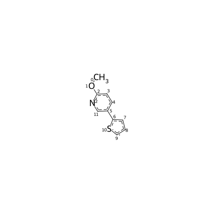 COc1ccc(-c2cc[c]s2)cn1